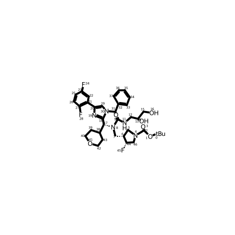 CC(C)(C)OC(=O)N1C[C@@H](CN(C(=O)NCC(O)CO)[C@@H](c2nc(-c3cc(F)ccc3F)cn2Cc2ccccc2)C2CCOCC2)[C@@H](F)C1